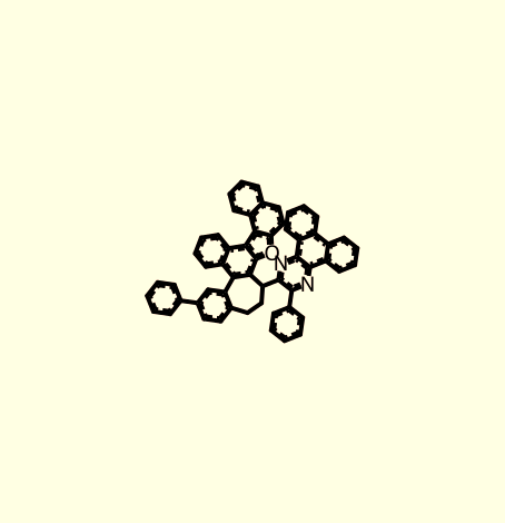 c1ccc(-c2ccc3c(c2)-c2c(c4oc5ccc6ccccc6c5c4c4ccccc24)C(c2nc4c5ccccc5c5ccccc5c4nc2-c2ccccc2)CC3)cc1